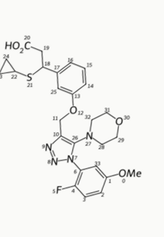 COc1ccc(F)c(-n2nnc(COc3cccc(C(CC(=O)O)SC4CC4)c3)c2N2CCOCC2)c1